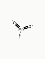 [O]=[Mn]=[O].[Ti]